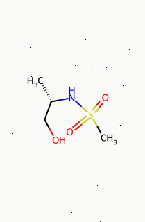 C[C@@H](CO)NS(C)(=O)=O